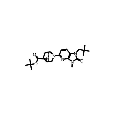 Cn1c(=O)n(CC(C)(C)C)c2ccc(N3CC4CCC3CN4C(=O)OC(C)(C)C)nc21